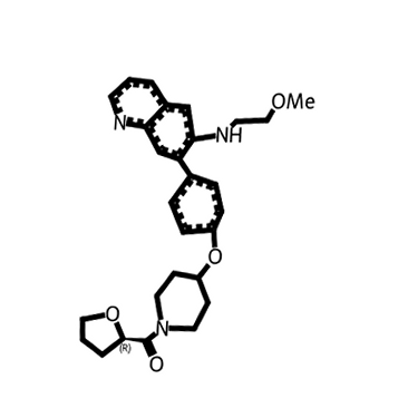 COCCNc1cc2cccnc2cc1-c1ccc(OC2CCN(C(=O)[C@H]3CCCO3)CC2)cc1